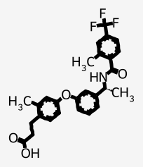 Cc1cc(Oc2cccc([C@@H](C)NC(=O)c3ccc(C(F)(F)F)cc3C)c2)ccc1CCC(=O)O